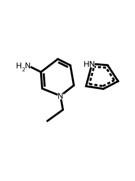 CCN1C=C(N)C=CC1.c1cc[nH]c1